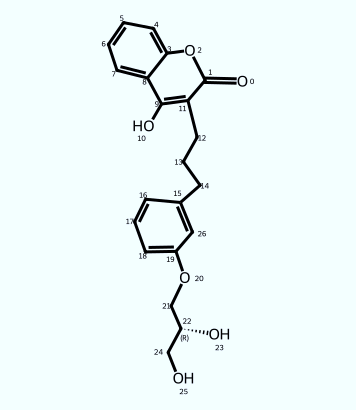 O=c1oc2ccccc2c(O)c1CCCc1cccc(OC[C@H](O)CO)c1